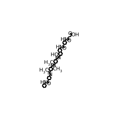 Cc1cc(N=Nc2ccc(N=Nc3ccc4cc(NC(=O)c5ccc(NC(=O)CCC(=O)O)cc5)ccc4c3O)cc2C)c(C)cc1N=Nc1ccc(C(=O)Nc2ccccc2)cc1